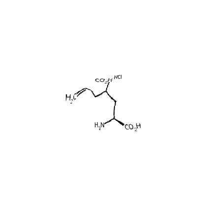 C=CCC(C[C@H](N)C(=O)O)C(=O)O.Cl